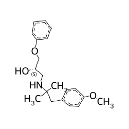 COc1ccc(CC(C)(C)NC[C@H](O)COc2ccccc2)cc1